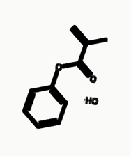 C=C(C)C(=O)Oc1ccccc1.[OH]